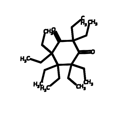 CCC1(CC)C(=O)C(CC)(CC)C(CC)(CC)C(CC)(CC)C1=O